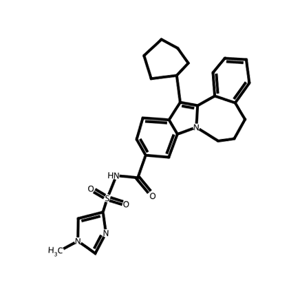 Cn1cnc(S(=O)(=O)NC(=O)c2ccc3c(C4CCCCC4)c4n(c3c2)CCCc2ccccc2-4)c1